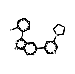 Fc1ccccc1-c1n[nH]c2cnc(-c3cncc(N4CCCC4)c3)cc12